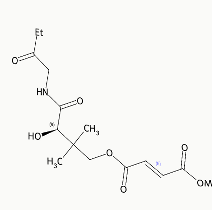 CCC(=O)CNC(=O)[C@H](O)C(C)(C)COC(=O)/C=C/C(=O)OC